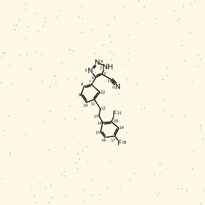 N#Cc1[nH]nnc1-c1cccc(CCc2ccc(F)cc2F)c1